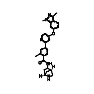 Cc1cc(-c2cc(Oc3ccc4c(C)nn(C)c4c3)ccn2)ccc1C(=O)N[C@@H]1C[C@H]2C[C@@H]1CN2